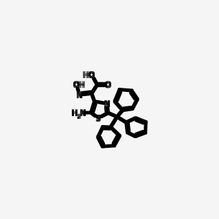 Nc1sc(C(c2ccccc2)(c2ccccc2)c2ccccc2)nc1C(=NO)C(=O)O